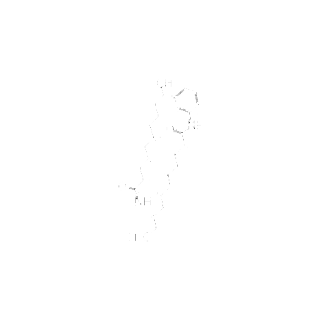 CCCCCCCCCCC(=O)Nc1ccccc1.CCCCCCCCCCC(N)=O